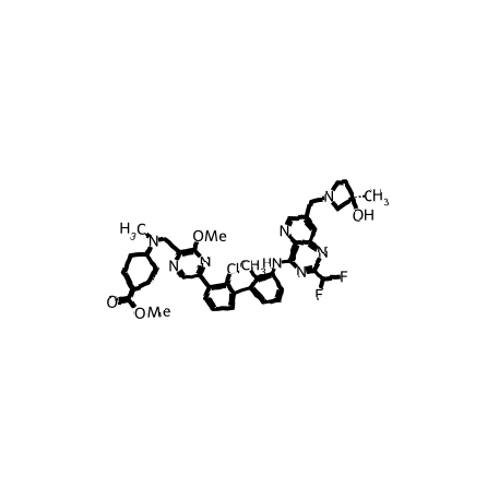 COC(=O)C1CCC(N(C)Cc2ncc(-c3cccc(-c4cccc(Nc5nc(C(F)F)nc6cc(CN7CC[C@@](C)(O)C7)cnc56)c4C)c3Cl)nc2OC)CC1